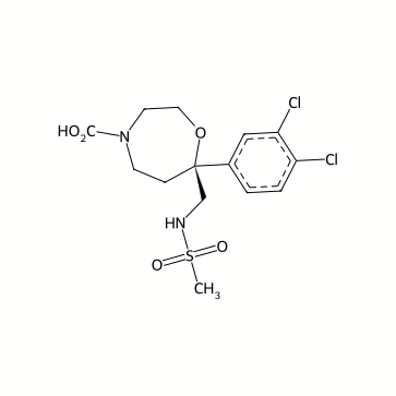 CS(=O)(=O)NC[C@@]1(c2ccc(Cl)c(Cl)c2)CCN(C(=O)O)CCO1